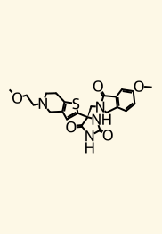 COCCN1CCc2sc([C@]3(CN4Cc5ccc(OC)cc5C4=O)NC(=O)NC3=O)cc2C1